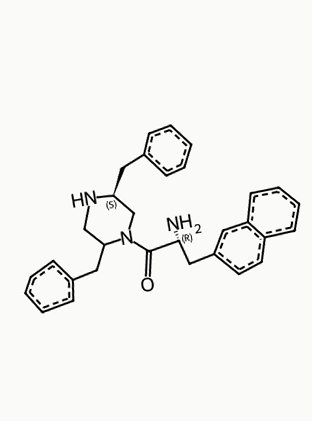 N[C@H](Cc1ccc2ccccc2c1)C(=O)N1C[C@H](Cc2ccccc2)NCC1Cc1ccccc1